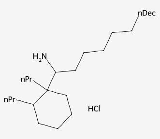 CCCCCCCCCCCCCCCC(N)C1(CCC)CCCCC1CCC.Cl